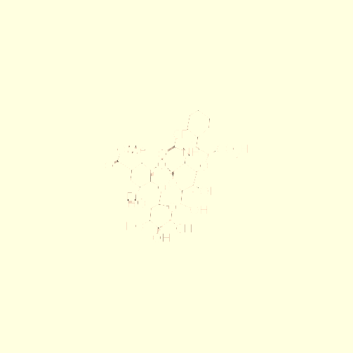 CCC1CC(C(=O)OC)C[C@@H](O[C@@H]2OC(CO)[C@H](O)C(O[C@@H](CC3CCCCC3)C(=O)O)C2NC(=O)C(F)(F)F)C1OC1O[C@@H](C)[C@H](O)C(O)[C@@H]1O